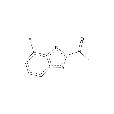 CC(=O)c1nc2c(F)cccc2s1